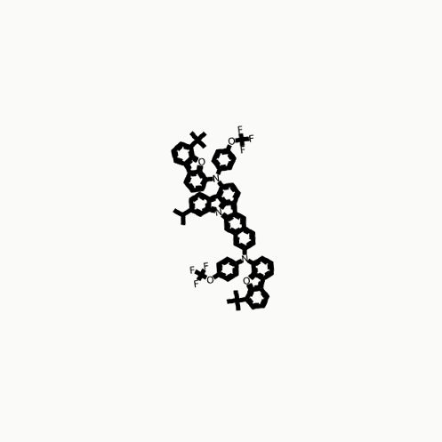 CC(C)c1ccc2c3c(N(c4ccc(OC(F)(F)F)cc4)c4cccc5c4oc4c(C(C)(C)C)cccc45)ccc4c5cc6ccc(N(c7ccc(OC(F)(F)F)cc7)c7cccc8c7oc7c(C(C)(C)C)cccc78)cc6cc5n(c2c1)c43